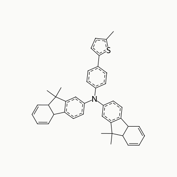 Cc1ccc(-c2ccc(N(c3ccc4c(c3)C(C)(C)C3C=CC=CC43)c3ccc4c(c3)C(C)(C)C3C=CC=CC43)cc2)s1